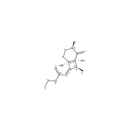 C=C1[C@@H]2[C@H](CC[C@H]1C)/C(=C\C(=O)OCC)[C@@H]2C